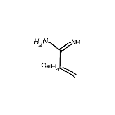 C=CC(=N)N.[GeH4]